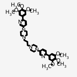 COc1cc(-c2ccc(N3CCN(CCCN4CCN(c5ccc(-c6cc(OC)c(OC)c(OC)c6)nc5)CC4)CC3)cn2)cc(OC)c1OC